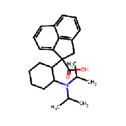 CC(C)N(C(C)C)C1CCCCC1C1(C(=O)O)Cc2cccc3cccc1c23